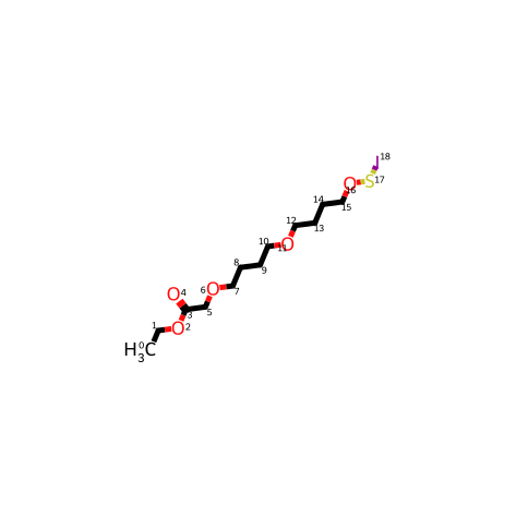 CCOC(=O)COCCCCOCCCCOSI